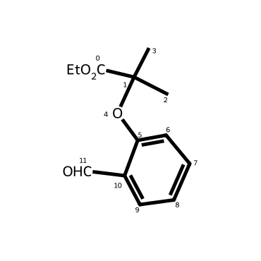 CCOC(=O)C(C)(C)Oc1ccccc1C=O